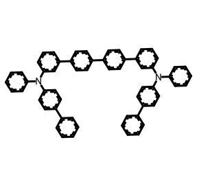 c1ccc(-c2ccc(N(c3ccccc3)c3cccc(-c4ccc(-c5ccc(-c6cccc(N(c7ccccc7)c7ccc(-c8ccccc8)cc7)c6)cc5)cc4)c3)cc2)cc1